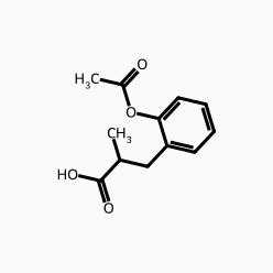 CC(=O)Oc1ccccc1CC(C)C(=O)O